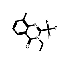 CCn1c(C(F)(F)F)nc2c(C)cccc2c1=O